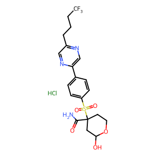 Cl.NC(=O)C1(S(=O)(=O)c2ccc(-c3cnc(CCCC(F)(F)F)cn3)cc2)CCOC(O)C1